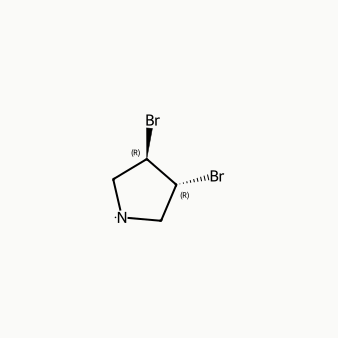 Br[C@@H]1C[N]C[C@H]1Br